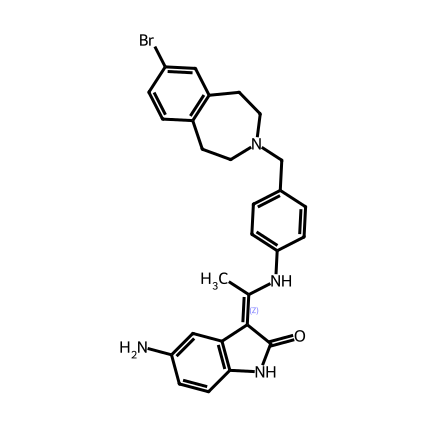 C/C(Nc1ccc(CN2CCc3ccc(Br)cc3CC2)cc1)=C1/C(=O)Nc2ccc(N)cc21